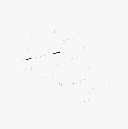 Cc1cccnc1Oc1ccc(F)c([C@]23CO[C@@H](C)C[C@H]2C(=O)N(C)C(=N)N3)c1